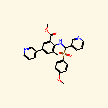 COC(=O)c1cc(-c2cccnc2)cc(C)c1NC(c1cccnc1)S(=O)(=O)c1ccc(OC)cc1